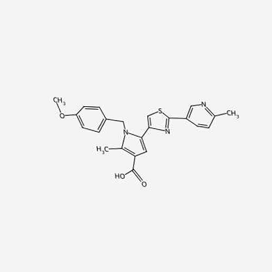 COc1ccc(Cn2c(-c3csc(-c4ccc(C)nc4)n3)cc(C(=O)O)c2C)cc1